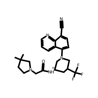 CC1(C)CCN(CC(=O)N[C@@H]2CC(C(F)(F)F)CN(c3ccc(C#N)c4ncccc34)C2)C1